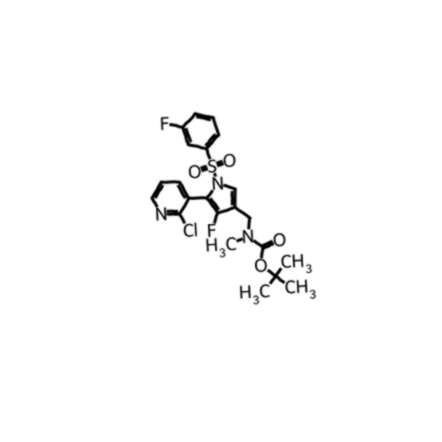 CN(Cc1cn(S(=O)(=O)c2cccc(F)c2)c(-c2cccnc2Cl)c1F)C(=O)OC(C)(C)C